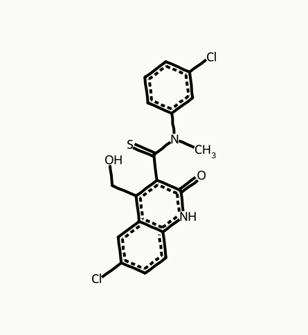 CN(C(=S)c1c(CO)c2cc(Cl)ccc2[nH]c1=O)c1cccc(Cl)c1